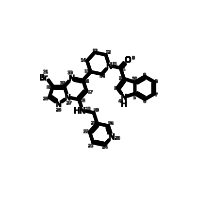 O=C(c1c[nH]c2ccccc12)N1CCCC(c2cc(NCc3cccnc3)n3ncc(Br)c3n2)C1